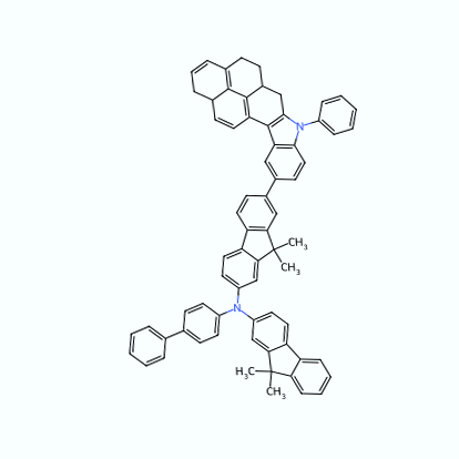 CC1(C)c2ccccc2-c2ccc(N(c3ccc(-c4ccccc4)cc3)c3ccc4c(c3)C(C)(C)c3cc(-c5ccc6c(c5)c5c(n6-c6ccccc6)CC6CCC7=C8C6=C5C=CC8CC=C7)ccc3-4)cc21